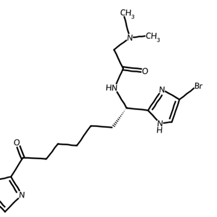 CN(C)CC(=O)N[C@@H](CCCCCC(=O)c1ncco1)c1nc(Br)c[nH]1